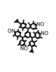 Cc1cc(C(c2cc(C(c3cc(C)c(N=O)c(C)c3C)c3cc(C)c(C4CC4)c(C)c3C)cc(C(c3cc(C)c(N=O)c(C)c3C)c3cc(C)c(C4CC4)c(C)c3C)c2)c2cc(C)c(N=O)c(C)c2C)c(C)c(C)c1N=O